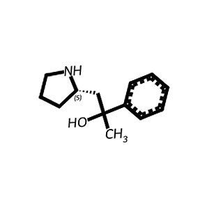 CC(O)(C[C@@H]1CCCN1)c1ccccc1